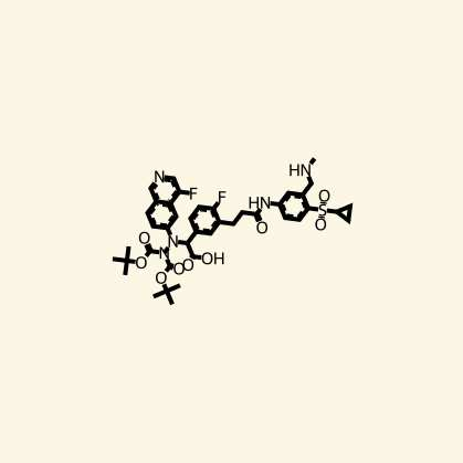 CNCc1cc(NC(=O)CCc2cc(C(C(=O)O)N(c3ccc4cncc(F)c4c3)N(C(=O)OC(C)(C)C)C(=O)OC(C)(C)C)ccc2F)ccc1S(=O)(=O)C1CC1